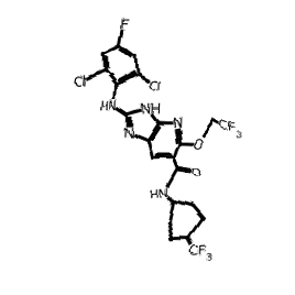 O=C(NC1CCC(C(F)(F)F)CC1)c1cc2nc(Nc3c(Cl)cc(F)cc3Cl)[nH]c2nc1OCC(F)(F)F